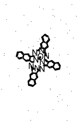 O=c1n2c3nc4nc(nc5c6cc7ccccc7cc6c(nc6nc(nc2c2cc7ccccc7cc23)-c2cc3ccccc3cc2-6)n15)-c1cc2ccccc2cc1-4